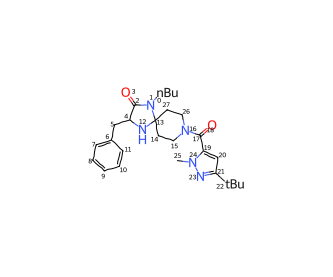 CCCCN1C(=O)C(Cc2ccccc2)NC12CCN(C(=O)c1cc(C(C)(C)C)nn1C)CC2